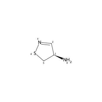 N[C@@H]1C=NSC1